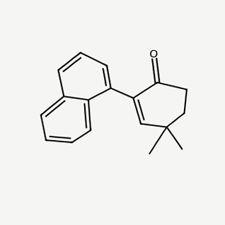 CC1(C)C=C(c2cccc3ccccc23)C(=O)CC1